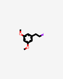 COc1cc(CCI)cc(OC)c1